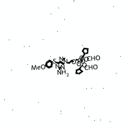 COc1ccc(Sc2nc(N)nc3c2ncn3CCOCP(=O)(OC(OC=O)C2CCCC2)OC(OC=O)C2CCCC2)cc1